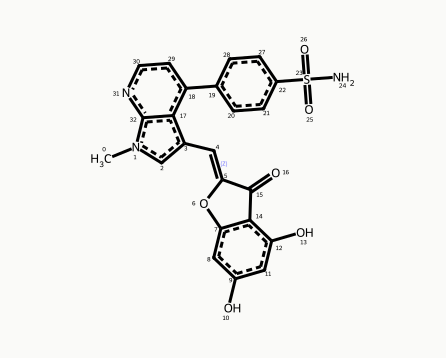 Cn1cc(/C=C2\Oc3cc(O)cc(O)c3C2=O)c2c(-c3ccc(S(N)(=O)=O)cc3)ccnc21